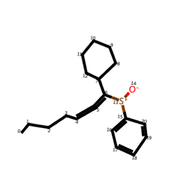 CCCCC=C=C(C1CCCCC1)[S+]([O-])c1ccccc1